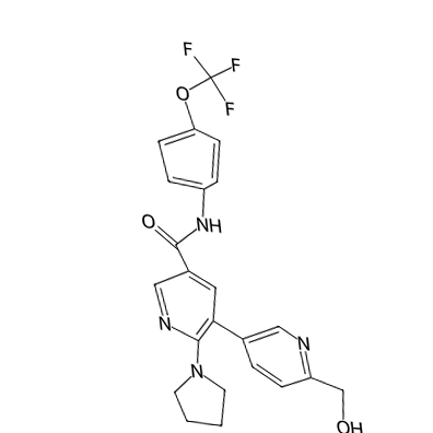 O=C(Nc1ccc(OC(F)(F)F)cc1)c1cnc(N2CCCC2)c(-c2ccc(CO)nc2)c1